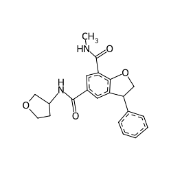 CNC(=O)c1cc(C(=O)NC2CCOC2)cc2c1OCC2c1ccccc1